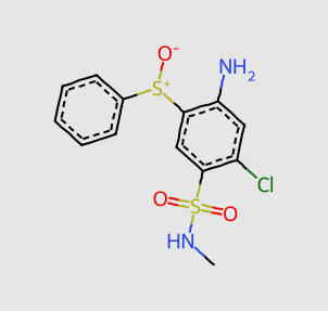 CNS(=O)(=O)c1cc([S+]([O-])c2ccccc2)c(N)cc1Cl